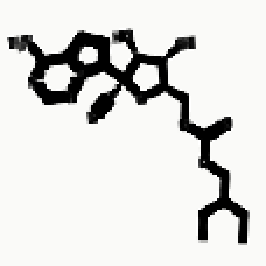 CCC(CC)COC(=O)OC[C@H]1O[C@@](C#N)(c2ccc3c(N)ncnn23)[C@H](O)[C@@H]1O